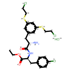 CCOC(=O)[C@H](Cc1ccc(Cl)cc1)NC(=O)[C@@H](N)Cc1cc(SCCCl)cc(SCCCl)c1.Cl